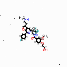 CNCCC1COc2c1cc(C(C)(CNC(=O)c1ccc(OCCO)c(OC)c1)C(F)(F)F)nc2-c1ccc(F)cc1